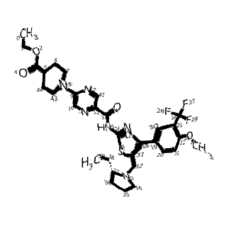 CCOC(=O)C1CCN(c2cnc(C(=O)Nc3nc(-c4ccc(OC)c(C(F)(F)F)c4)c(CN4CCC[C@@H]4CC)s3)cn2)CC1